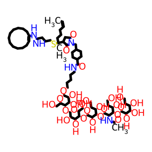 C/C=C\CCCC(C)(SCCCC(=N)N/C1=C/CCCCCCCCCCC1)C1CC(=O)N(CC2CCC(C(=O)NCCCCCO[C@@H]3OC(CO)[C@@H](O[C@@H]4OC(CO)[C@H](O[C@H]5OC(CO)[C@H](O)C(O[C@@H]6OC(CO)[C@H](O)C(O[C@@H]7OC(CO)[C@H](O)C(O)C7O)C6NC(C)=O)[C@H]5O)C(O)C4O)C(O)C3O)CC2)C1=O